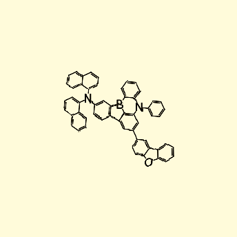 c1ccc(N2c3ccccc3B3c4cc(N(c5cccc6ccccc56)c5cccc6ccccc56)ccc4-c4cc(-c5ccc6oc7ccccc7c6c5)cc2c43)cc1